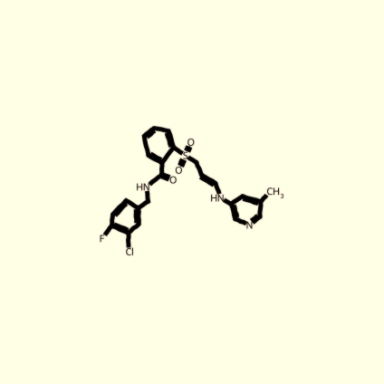 Cc1cncc(NC=CCS(=O)(=O)c2ccccc2C(=O)NCc2ccc(F)c(Cl)c2)c1